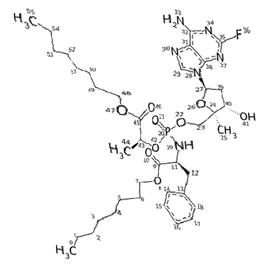 CCCCCCCCOC(=O)[C@H](Cc1ccccc1)NP(=O)(OC[C@@]1(C)O[C@@H](n2cnc3c(N)nc(F)nc32)C[C@@H]1O)O[C@@H](C)C(=O)OCCCCCCCC